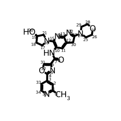 Cc1cc(-c2nc(C(=O)Nc3cc4c(nc3N3CCC(O)C3)N=C(N3CCOCC3)C4)co2)ccn1